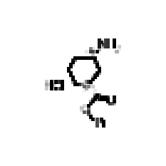 CC(C)OC(=O)[C@@H]1CCC[C@H](N)C1.Cl